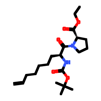 C=CCCCCC[C@H](NC(=O)OC(C)(C)C)C(=O)N1CCC[C@H]1C(=O)OCC